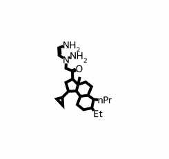 CCCC1C(CC)CCC2C1CCC1(C)C(C(=O)CN(N)/C=C\N)CC(C3CC3)C21